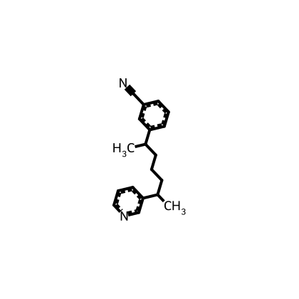 CC(CCCC(C)c1cccc(C#N)c1)c1cccnc1